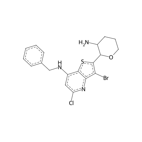 NC1CCCOC1c1sc2c(NCc3ccccc3)cc(Cl)nc2c1Br